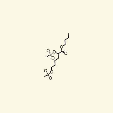 CCCCOC(=O)C(CCCCOS(C)(=O)=O)OS(C)(=O)=O